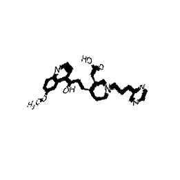 COc1ccc2nccc(C(O)CC[C@@H]3CCN(CCCc4cnccn4)C[C@@H]3CC(=O)O)c2c1